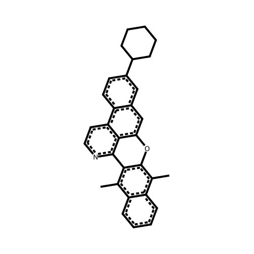 Cc1c2c(c(C)c3ccccc13)-c1nccc3c1c(cc1cc(C4CCCCC4)ccc13)O2